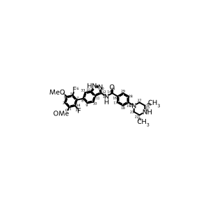 COc1cc(OC)c(F)c(-c2ccc3c(NC(=O)c4ccc(N5C[C@@H](C)N[C@@H](C)C5)cc4)n[nH]c3c2)c1F